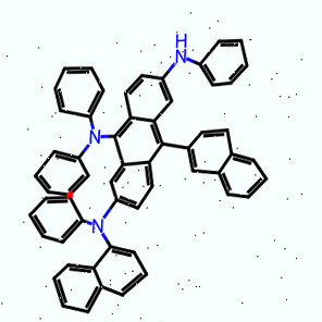 c1ccc(Nc2ccc3c(N(c4ccccc4)c4ccccc4)c4cc(N(c5ccccc5)c5cccc6ccccc56)ccc4c(-c4ccc5ccccc5c4)c3c2)cc1